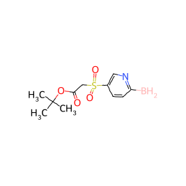 Bc1ccc(S(=O)(=O)CC(=O)OC(C)(C)C)cn1